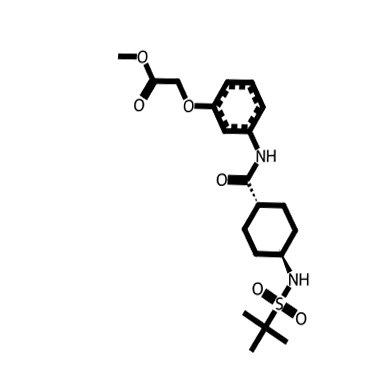 COC(=O)COc1cccc(NC(=O)[C@H]2CC[C@H](NS(=O)(=O)C(C)(C)C)CC2)c1